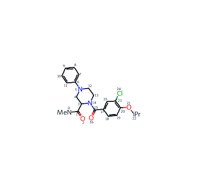 CNC(=O)C1CN(c2ccccc2)CCN1C(=O)c1ccc(OC(C)C)c(Cl)c1